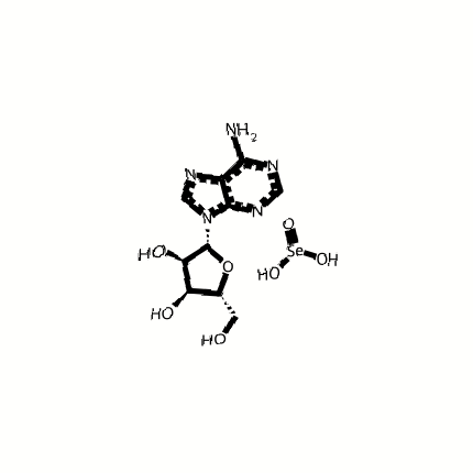 Nc1ncnc2c1ncn2[C@@H]1O[C@H](CO)[C@@H](O)[C@H]1O.O=[Se](O)O